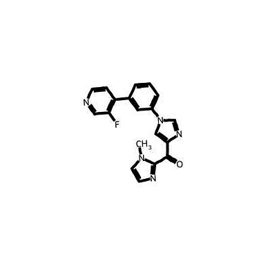 Cn1ccnc1C(=O)c1cn(-c2cccc(-c3ccncc3F)c2)cn1